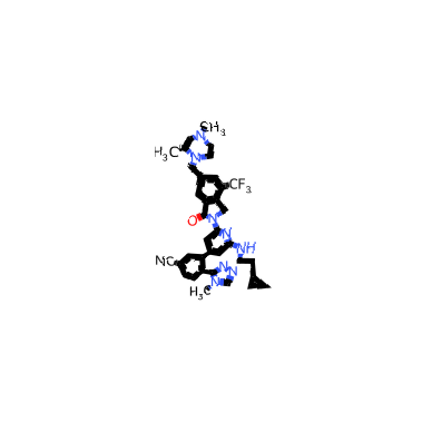 C[C@H]1CN(C)CCN1Cc1cc2c(c(C(F)(F)F)c1)CN(c1cc(-c3cc(C#N)ccc3-c3nncn3C)cc(NCCC3CC3)n1)C2=O